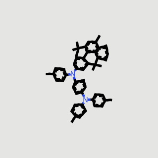 Cc1ccc(N(c2ccc(C)cc2)c2ccc(N(c3ccc(C)cc3)c3cc4c5c(c3)C(C)(C)c3cccc6c(C)cc(c-5c36)C4(C)C)cc2)cc1